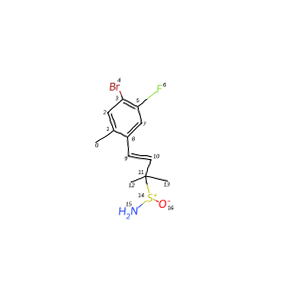 Cc1cc(Br)c(F)cc1C=CC(C)(C)[S+](N)[O-]